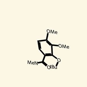 CNC(=O)c1ccc(OC)c(OC)c1OC(C)(C)C